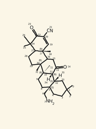 CC1(C)CC[C@]2(CN)CC[C@]3(C)[C@H](C(=O)CC4[C@@]5(C)C=C(C#N)C(=O)C(C)(C)C5CC[C@]43C)[C@@H]2C1